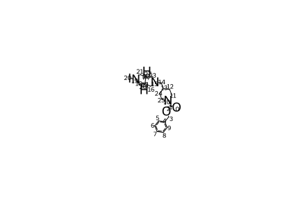 O=C(OCc1ccccc1)N1CCC(CN2C[C@H]3CN(I)C[C@H]3C2)CC1